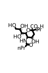 CCCC(=O)NC1C([C@H](O)[C@H](O)CO)O[C@](C(=O)O)(C(C)C)C[C@H]1O